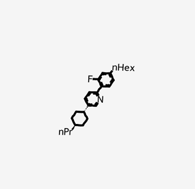 CCCCCCc1ccc(-c2ccc([C@H]3CC[C@H](CCC)CC3)cn2)c(F)c1